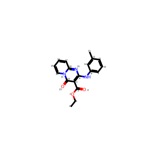 CCOC(=O)c1c(Nc2cccc(C)c2)nc2ccccn2c1=O